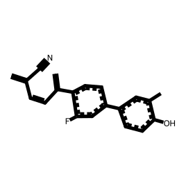 C=C(C#N)/C=C\C(=C)c1ccc(-c2ccc(O)c(C)c2)cc1F